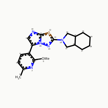 COc1nc(C)ccc1-c1cnc2sc(N3CC4CCCCC4C3)nn12